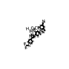 CC(C)Nc1cc(-n2ncc3cc(C#N)cnc32)ncc1-n1cc(C2CCN(CC(F)F)CC2)nn1